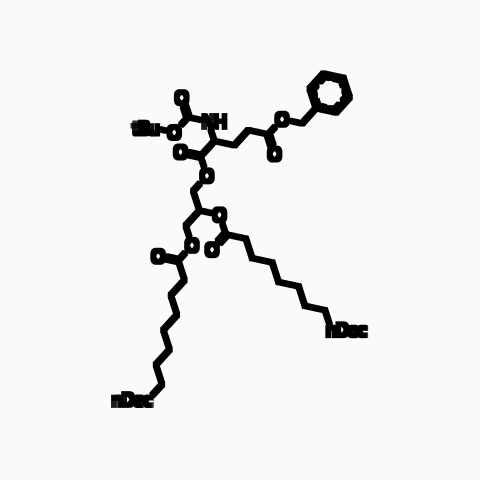 CCCCCCCCCCCCCCCCCC(=O)OCC(COC(=O)C(CCC(=O)OCc1ccccc1)NC(=O)OC(C)(C)C)OC(=O)CCCCCCCCCCCCCCCCC